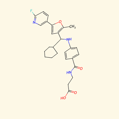 Cc1oc(-c2ccc(F)nc2)cc1C(Nc1ccc(C(=O)NCCC(=O)O)cc1)C1CCCCC1